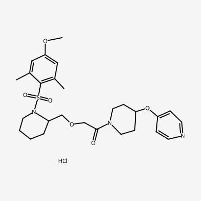 COc1cc(C)c(S(=O)(=O)N2CCCCC2COCC(=O)N2CCC(Oc3ccncc3)CC2)c(C)c1.Cl